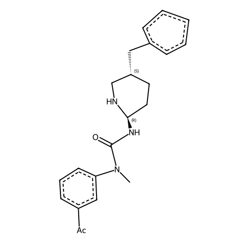 CC(=O)c1cccc(N(C)C(=O)N[C@@H]2CC[C@@H](Cc3ccccc3)CN2)c1